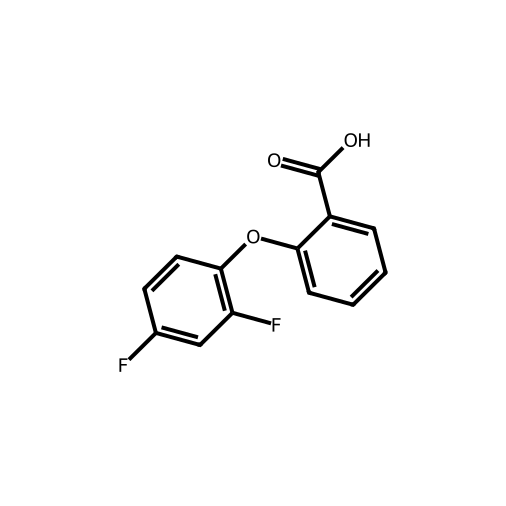 O=C(O)c1ccccc1Oc1ccc(F)cc1F